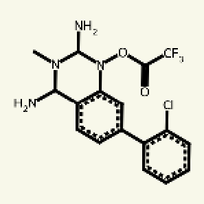 CN1C(N)c2ccc(-c3ccccc3Cl)cc2N(OC(=O)C(F)(F)F)C1N